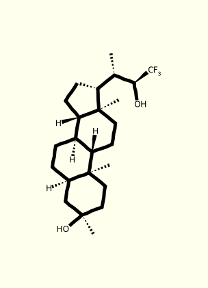 C[C@@H]([C@H]1CC[C@H]2[C@@H]3CC[C@@H]4C[C@](C)(O)CC[C@]4(C)[C@H]3CC[C@]12C)[C@H](O)C(F)(F)F